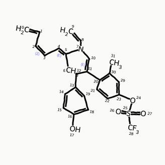 C=C/C=C\C=C(/C)N(C=C)/C=C(\Cc1ccc(O)cc1)c1ccc(OS(=O)(=O)C(F)(F)F)cc1C